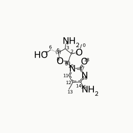 COC1C(N)[C@@H](CO)O[C@H]1n1cc(C)c(N)nc1=O